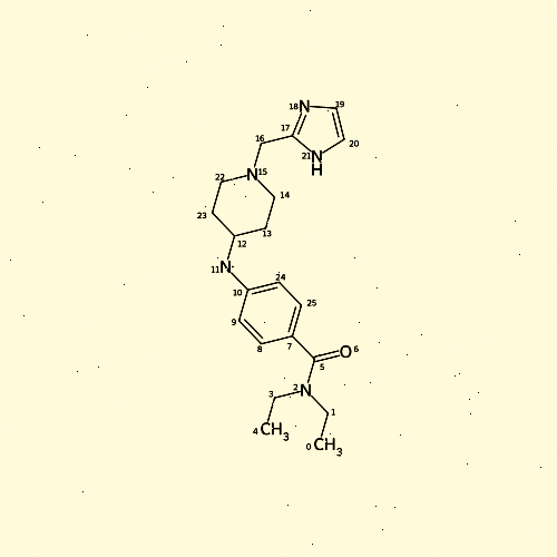 CCN(CC)C(=O)c1ccc([N]C2CCN(Cc3ncc[nH]3)CC2)cc1